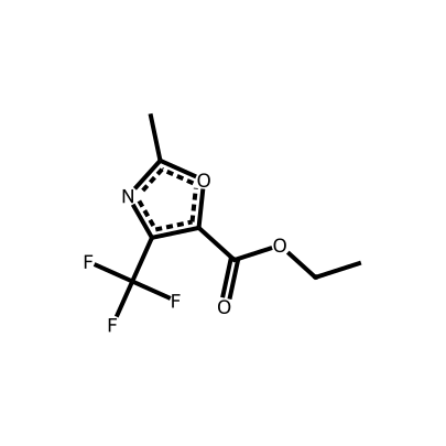 CCOC(=O)c1oc(C)nc1C(F)(F)F